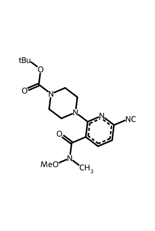 [C-]#[N+]c1ccc(C(=O)N(C)OC)c(N2CCN(C(=O)OC(C)(C)C)CC2)n1